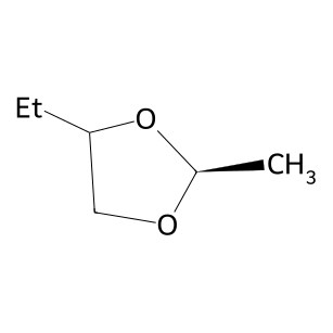 CCC1CO[C@H](C)O1